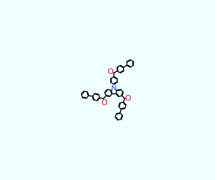 O=C(c1ccc(-c2ccccc2)cc1)c1ccc(-n2c3ccc(C(=O)c4ccc(-c5ccccc5)cc4)cc3c3cc(C(=O)c4ccc(-c5ccccc5)cc4)ccc32)cc1